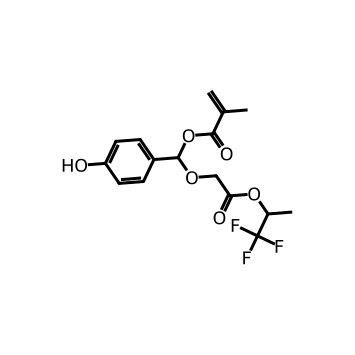 C=C(C)C(=O)OC(OCC(=O)OC(C)C(F)(F)F)c1ccc(O)cc1